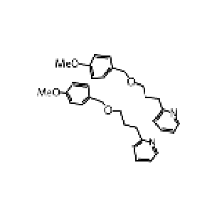 COc1ccc(COCCCc2ccccn2)cc1.COc1ccc(COCCCc2ccccn2)cc1